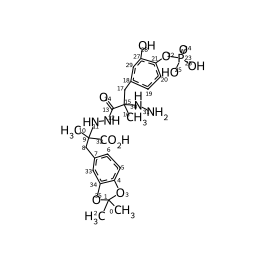 CC1(C)Oc2ccc(CC(C)(NNC(=O)C(C)(Cc3ccc(OP(=O)(O)O)c(O)c3)NN)C(=O)O)cc2O1